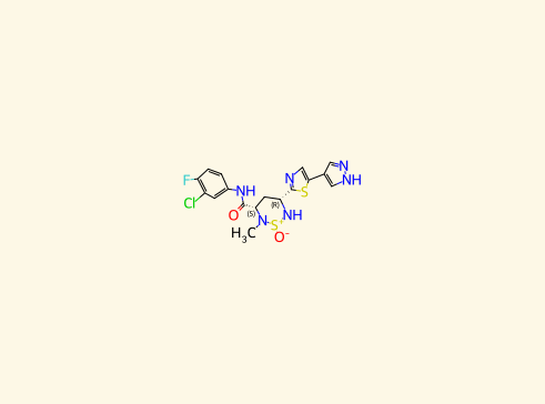 CN1[C@H](C(=O)Nc2ccc(F)c(Cl)c2)C[C@H](c2ncc(-c3cn[nH]c3)s2)N[S+]1[O-]